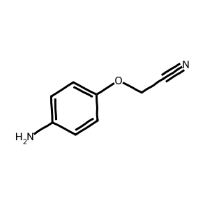 N#CCOc1ccc(N)cc1